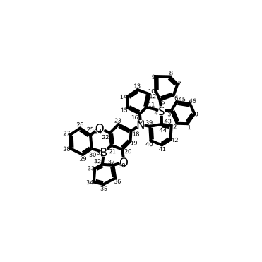 c1ccc(S2(c3ccccc3)c3ccccc3N(c3cc4c5c(c3)Oc3ccccc3B5c3ccccc3O4)c3ccccc32)cc1